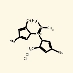 CC1=CC(C(C)(C)C)=C[CH]1[Zr+2]([CH]1C=C(C(C)(C)C)C=C1C)=[Si](C)C.[Cl-].[Cl-]